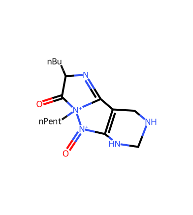 CCCCC[N+]12C(=O)C(CCCC)N=C1C1=C(NCNC1)[N+]2=O